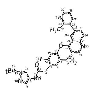 Cc1cc(CC(=O)Nc2cnn(C(C)(C)C)c2)c(F)cc1Oc1ccnc2ccc(-c3cccnc3C)cc12